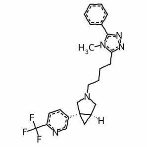 Cn1c(CCCCN2C[C@H]3C[C@@]3(c3ccc(C(F)(F)F)nc3)C2)nnc1-c1ccccc1